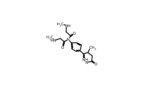 CNCC(=O)N(C(=O)CNC)c1ccc(C2=NNC(=O)CC2C)cc1